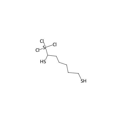 SCCCCCC(S)[Si](Cl)(Cl)Cl